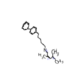 C\C=C(C)/C=C(C)\C=N\CCCCCc1ccc(-c2ccccc2)cc1